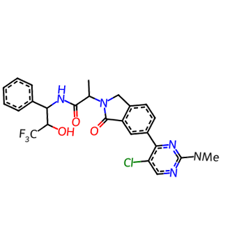 CNc1ncc(Cl)c(-c2ccc3c(c2)C(=O)N(C(C)C(=O)NC(c2ccccc2)C(O)C(F)(F)F)C3)n1